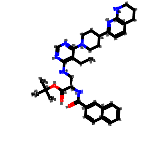 CCc1c(NC[C@H](NC(=O)c2ccc3ccccc3c2)C(=O)OC(C)(C)C)ncnc1N1CCC(c2ccc3c(n2)NCCC3)CC1